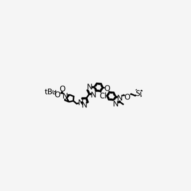 Cc1nc2ccc(Oc3ccc4ncc(-c5cnn(CC6CC7CC6CN7C(=O)OC(C)(C)C)c5)nc4c3Cl)cc2n1COCC[Si](C)(C)C